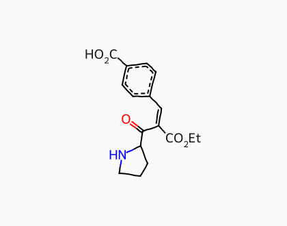 CCOC(=O)C(=Cc1ccc(C(=O)O)cc1)C(=O)C1CCCN1